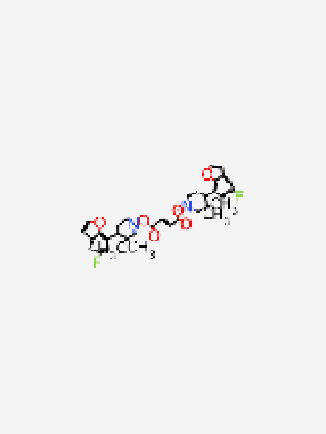 CC1(C)CN(OC(=O)/C=C/C(=O)ON2CCC(c3cc(F)cc4ccoc34)C(C)(C)C2)CCC1c1cc(F)cc2ccoc12